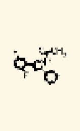 CC(=O)ON1CC(c2cc(F)ccc2F)=C[C@H]1c1ccccc1